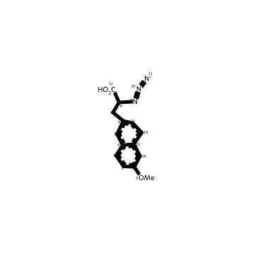 COc1ccc2cc(CC(N=[N+]=[N-])C(=O)O)ccc2c1